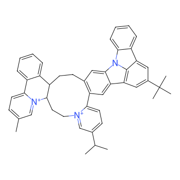 Cc1ccc2[n+](c1)C1CC[n+]3cc(C(C)C)ccc3-c3cc4c5cc(C(C)(C)C)cc6c7ccccc7n(c4cc3CCC1c1ccccc1-2)c65